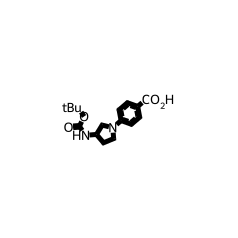 CC(C)(C)OC(=O)NC1CCN(c2ccc(C(=O)O)cc2)C1